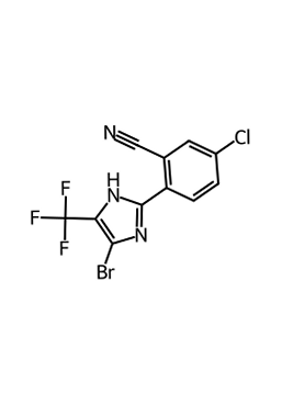 N#Cc1cc(Cl)ccc1-c1nc(Br)c(C(F)(F)F)[nH]1